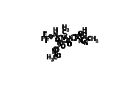 CCc1c(N2CCN(C(=O)c3ncnc(C)c3O)CC2)c(=O)c2oc(-c3ccnc(OC)c3)nc2n1CC(=O)NC12CC(C(F)(F)F)(C1)C2